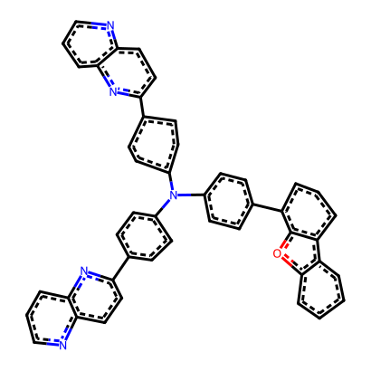 c1cnc2ccc(-c3ccc(N(c4ccc(-c5ccc6ncccc6n5)cc4)c4ccc(-c5cccc6c5oc5ccccc56)cc4)cc3)nc2c1